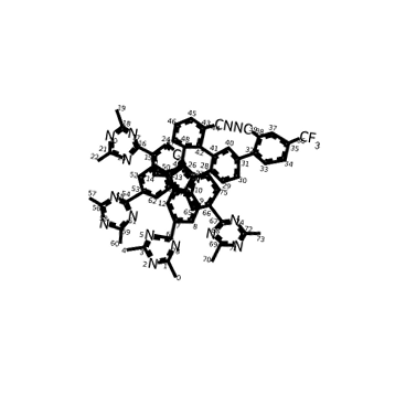 Cc1nc(C)nc(-c2ccc3c(c2)c2cc(-c4nc(C)nc(C)n4)ccc2n3-c2ccc(-c3ccc(C(F)(F)F)cc3C#N)cc2-c2c(C#N)cccc2-n2c3ccc(-c4nc(C)nc(C)n4)cc3c3cc(-c4nc(C)nc(C)n4)ccc32)n1